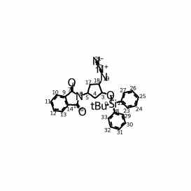 CC(C)(C)[Si](OC1CC(N2C(=O)c3ccccc3C2=O)CC1N=[N+]=[N-])(c1ccccc1)c1ccccc1